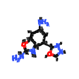 Nc1cc(-c2nnco2)c2nc(N)oc2c1